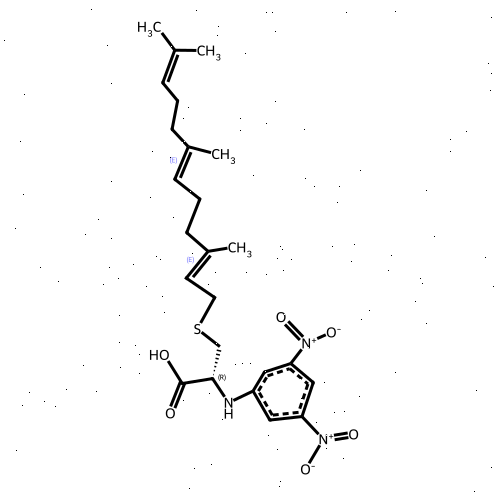 CC(C)=CCC/C(C)=C/CC/C(C)=C/CSC[C@H](Nc1cc([N+](=O)[O-])cc([N+](=O)[O-])c1)C(=O)O